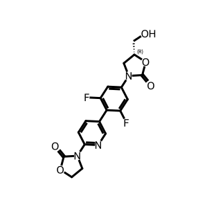 O=C1O[C@@H](CO)CN1c1cc(F)c(-c2ccc(N3CCOC3=O)nc2)c(F)c1